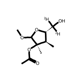 [2H]C([2H])(O)[C@H]1OC(OC)[C@](C)(OC(C)=O)[C@@H]1C